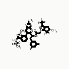 Cc1nc2nc(C(Cc3cc(F)cc(F)c3)NC(=O)Cn3nc(C(F)(F)F)c4c3C(F)(F)[C@H](C)C4)c(-c3cccc4c(NS(C)(=O)=O)nn(C)c34)cc2s1